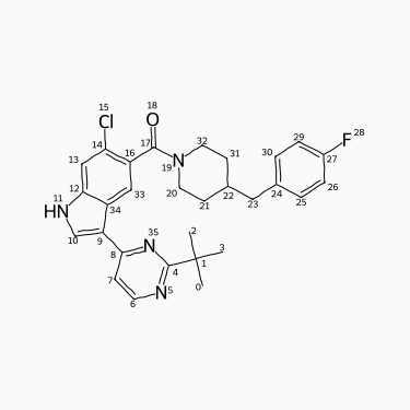 CC(C)(C)c1nccc(-c2c[nH]c3cc(Cl)c(C(=O)N4CCC(Cc5ccc(F)cc5)CC4)cc23)n1